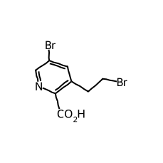 O=C(O)c1ncc(Br)cc1CCBr